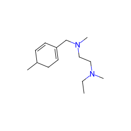 CCN(C)CCN(C)CC1=CCC(C)C=C1